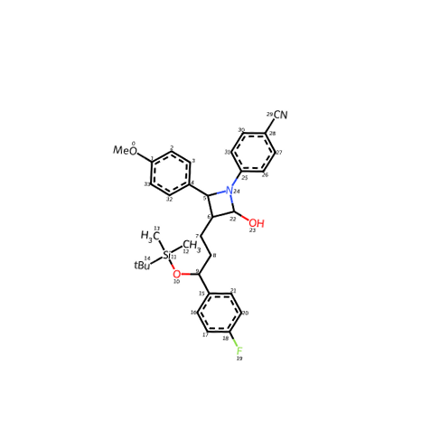 COc1ccc(C2C(CCC(O[Si](C)(C)C(C)(C)C)c3ccc(F)cc3)C(O)N2c2ccc(C#N)cc2)cc1